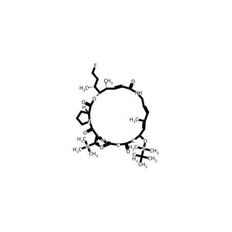 CC1=C\C(O[Si](C)(C)C(C)(C)C)CC(=O)Cc2nc(c([Si](C)(C)C)o2)C(=O)N2CCC[C@@H]2C(=O)O[C@H]([C@H](C)CCF)[C@H](C)/C=C/C(=O)NC\C=C\1